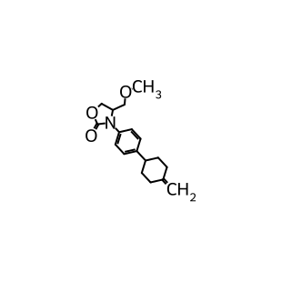 C=C1CCC(c2ccc(N3C(=O)OCC3COC)cc2)CC1